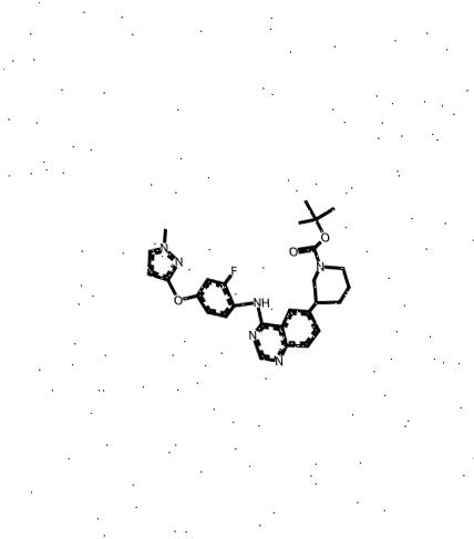 Cn1ccc(Oc2ccc(Nc3ncnc4ccc(C5CCCN(C(=O)OC(C)(C)C)C5)cc34)c(F)c2)n1